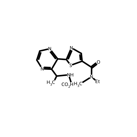 CCN(C)C(=O)c1cnc(-c2nccnc2C(C)NC(=O)O)s1